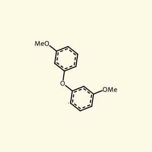 COc1cc[c]c(Oc2cccc(OC)c2)c1